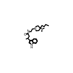 CCCCC1(N(C)C)CCN(CCN(C)C(=O)CC(C)c2c[nH]c3ccccc23)CC1